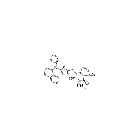 CC1=C(C#N)C(=O)N(C)C(=O)C1=Cc1ccc(N(c2ccccc2)c2cccc3ccccc23)s1